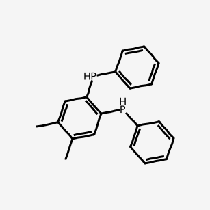 Cc1cc(Pc2ccccc2)c(Pc2ccccc2)cc1C